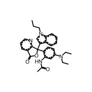 CCCn1cc(C2(c3ccc(N(CC)CC)cc3NC(C)=O)OC(=O)c3cccnc32)c2ccccc21